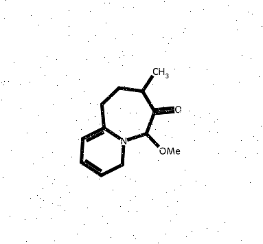 COC1C(=O)C(C)CCC2=CC=CCN21